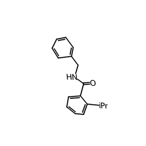 CC(C)c1ccccc1C(=O)NCc1ccccc1